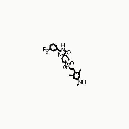 CNc1cc(C)c(/C=C/S(=O)(=O)N2CCC3(CC2)N=C(c2cccc(SF)c2)NC3=O)c(C)c1